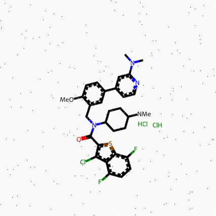 CNC1CCC(N(Cc2cc(-c3ccnc(N(C)C)c3)ccc2OC)C(=O)c2sc3c(F)ccc(F)c3c2Cl)CC1.Cl.Cl